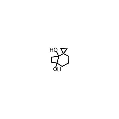 OC12CCCC3(CC3)C1(O)CC2